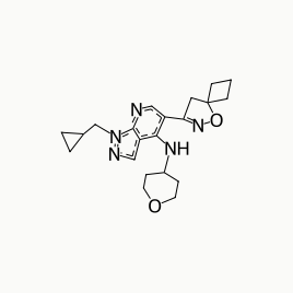 c1nc2c(cnn2CC2CC2)c(NC2CCOCC2)c1C1=NOC2(CCC2)C1